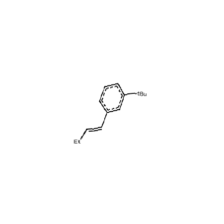 CCC=Cc1cccc(C(C)(C)C)c1